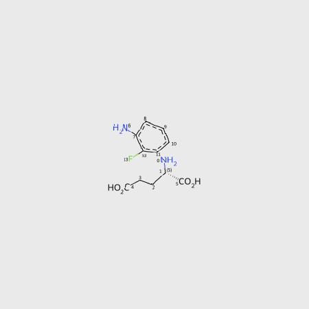 N[C@@H](CCC(=O)O)C(=O)O.Nc1ccccc1F